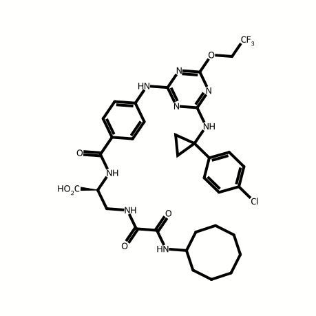 O=C(NC[C@H](NC(=O)c1ccc(Nc2nc(NC3(c4ccc(Cl)cc4)CC3)nc(OCC(F)(F)F)n2)cc1)C(=O)O)C(=O)NC1CCCCCCC1